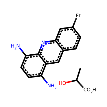 CC(O)C(=O)O.CCc1ccc2cc3c(N)ccc(N)c3nc2c1